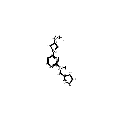 [AsH2]C1CN(c2ccnc(NCC3CCCO3)n2)C1